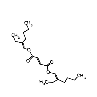 CCCCC(=COC(=O)C=CC(=O)OC=C(CC)CCCC)CC